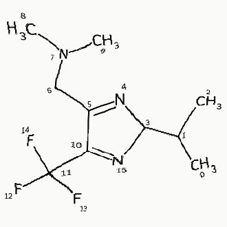 CC(C)C1N=C(CN(C)C)C(C(F)(F)F)=N1